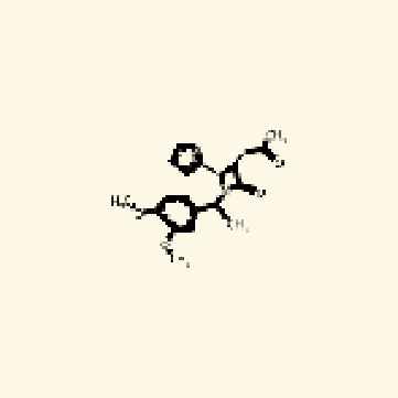 COc1ccc(C(C)N2C(=O)[C@H](OC(C)=O)[C@@H]2c2cccs2)cc1OC